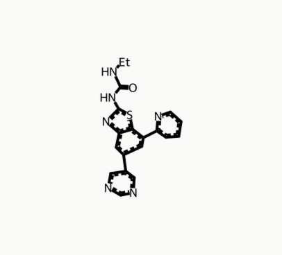 CCNC(=O)Nc1nc2cc(-c3cncnc3)cc(-c3ccccn3)c2s1